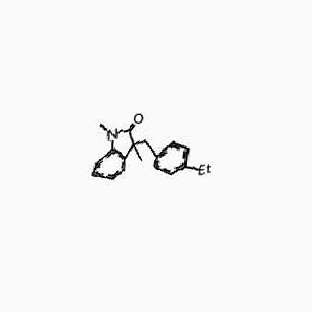 CCc1ccc(CC2(C)C(=O)N(C)c3ccccc32)cc1